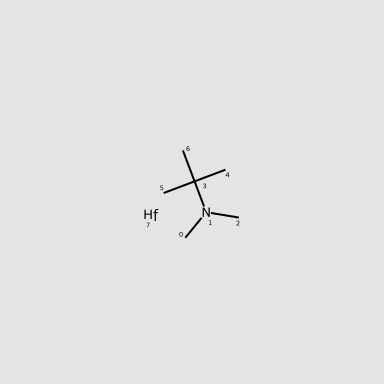 CN(C)C(C)(C)C.[Hf]